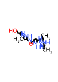 Cc1cc(Nc2cc(C)[nH]n2)nc(-c2ccc(C(=O)NCC3=CN=C(n4cc(CCO)cn4)C(C)C3)nc2)n1